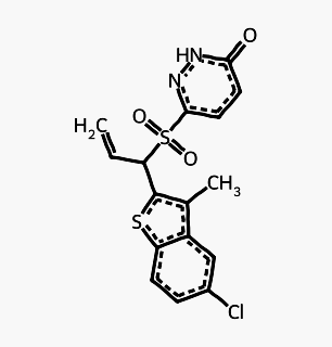 C=CC(c1sc2ccc(Cl)cc2c1C)S(=O)(=O)c1ccc(=O)[nH]n1